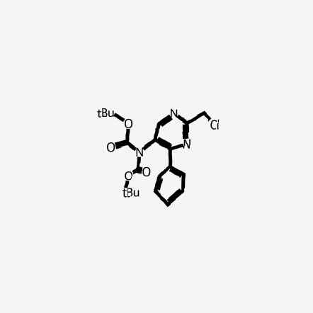 CC(C)(C)OC(=O)N(C(=O)OC(C)(C)C)c1cnc(CCl)nc1-c1ccccc1